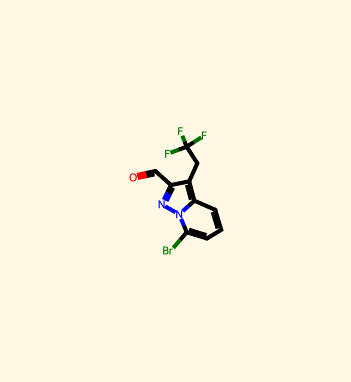 O=Cc1nn2c(Br)cccc2c1CC(F)(F)F